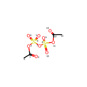 CC(=O)OS(=O)(=O)OS(=O)(=O)OC(C)=O